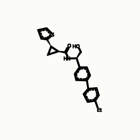 CCc1ccc(-c2ccc([C@H](CO)NC(=O)[C@H]3C[C@@H]3c3cccs3)cc2)cc1